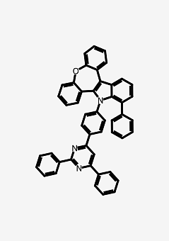 c1ccc(-c2cc(-c3ccc(-n4c5c(c6cccc(-c7ccccc7)c64)-c4ccccc4Oc4ccccc4-5)cc3)nc(-c3ccccc3)n2)cc1